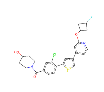 O=C(c1ccc(-c2cc(-c3ccnc(OC4CC(F)C4)c3)cs2)c(Cl)c1)N1CCC(O)CC1